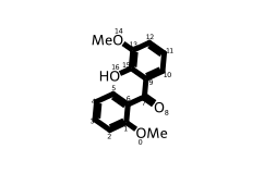 COc1ccccc1C(=O)c1cccc(OC)c1O